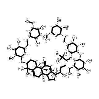 C[C@H](CC[C@@H](O[C@@H]1O[C@H](CO[C@@H]2O[C@H](CO)C[C@H](O)[C@H]2O)[C@@H](O)[C@H](O)[C@H]1O[C@@H]1O[C@H](CO)[C@@H](O)[C@H](O)[C@H]1O)C(C)(C)O)[C@H]1CC[C@@]2(C)[C@@H]3CC=C4[C@@H](CC[C@H](O[C@@H]5O[C@H](CO[C@@H]6O[C@H](CO)[C@@H](O)[C@H](O)[C@H]6O)[C@@H](O)[C@H](O)[C@H]5O)C4(C)C)[C@]3(CO)C(=O)C[C@]12C